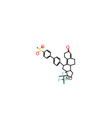 CC(F)(F)C(C)(F)[C@]1(N=O)CCC2C3CCC4=CC(=O)CCC4=C3C(c3ccc(-c4ccc(S(C)(=O)=O)cc4)cc3)CC21C